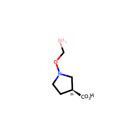 BCON1CC[C@H](C(=O)O)C1